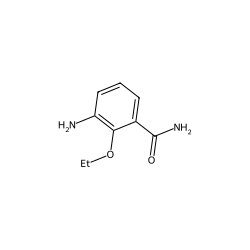 CCOc1c(N)cccc1C(N)=O